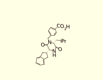 CC(C)C[C@@H]1C(=O)N[C@H](C2Cc3ccccc3C2)C(=O)N1Cc1ccc(C(=O)O)cc1